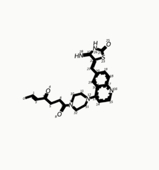 C/C=C/C(=O)CCC(=O)N1CCN(c2ccnc3ccc(/C=C4\SC(=O)NC4=N)cc23)CC1